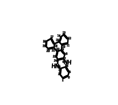 c1ccc2c(c1)Nc1cc3c4ccccc4c4ccccc4c3cc1N2